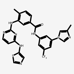 Cc1cn(-c2cc(NC(=O)c3ccc(C)c(Nc4nccc(Nc5cncs5)n4)c3)cc(C(F)(F)F)c2)cn1